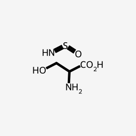 N=S=O.NC(CO)C(=O)O